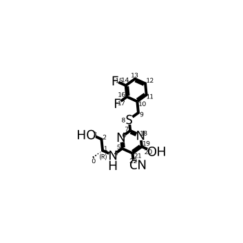 C[C@H](CO)Nc1nc(SCc2cccc(F)c2F)nc(O)c1C#N